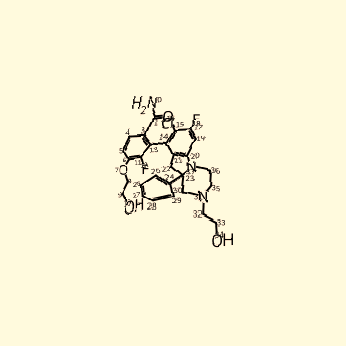 NC(=O)c1ccc(OCCO)c(F)c1-c1c(Cl)c(F)cc2c1CC1(c3ccccc3)CN(CCO)CCN21